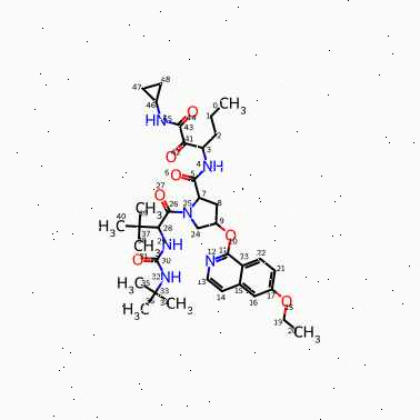 CCCC(NC(=O)C1CC(Oc2nccc3cc(OCC)ccc23)CN1C(=O)C(NC(=O)NC(C)(C)C)C(C)(C)C)C(=O)C(=O)NC1CC1